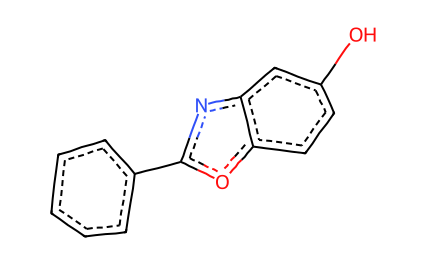 Oc1ccc2oc(-c3ccccc3)nc2c1